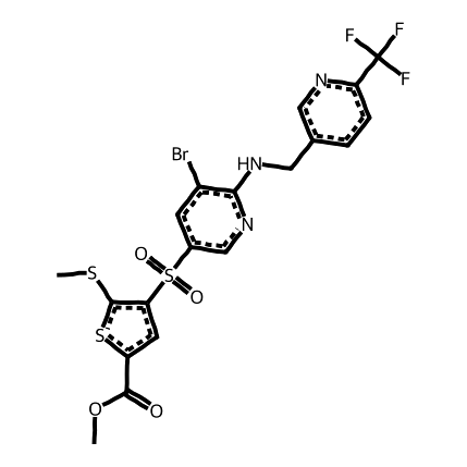 COC(=O)c1cc(S(=O)(=O)c2cnc(NCc3ccc(C(F)(F)F)nc3)c(Br)c2)c(SC)s1